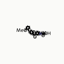 COc1ccccc1CN1CCC2(CC1)CC(=O)c1cc(/C=C/C(=O)NO)ccc1O2